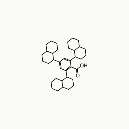 O=C(O)c1c(C2CCCC3CCCCC32)cc(C2CCCC3CCCCC32)cc1C1CCCC2CCCCC21